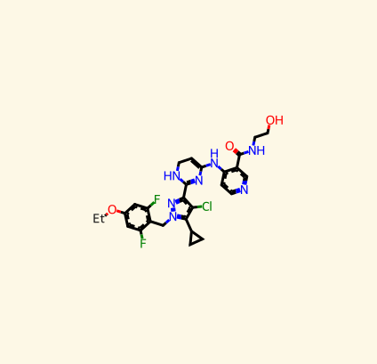 CCOc1cc(F)c(Cn2nc(C3=NC(Nc4ccncc4C(=O)NCCO)=CCN3)c(Cl)c2C2CC2)c(F)c1